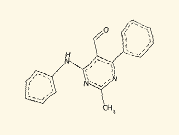 Cc1nc(Nc2ccccc2)c(C=O)c(-c2ccccc2)n1